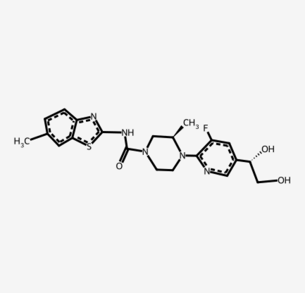 Cc1ccc2nc(NC(=O)N3CCN(c4ncc([C@H](O)CO)cc4F)[C@H](C)C3)sc2c1